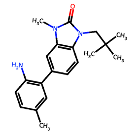 Cc1ccc(N)c(-c2ccc3c(c2)n(C)c(=O)n3CC(C)(C)C)c1